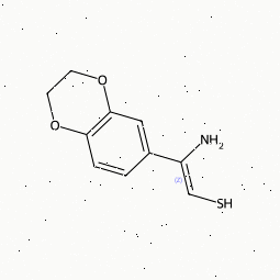 N/C(=C\S)c1ccc2c(c1)OCCO2